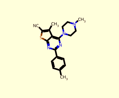 Cc1ccc(-c2nc(N3CCN(C)CC3)c3c(C)c(C#N)sc3n2)cc1